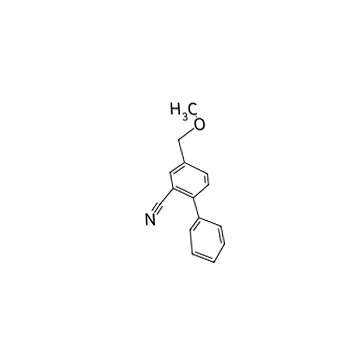 COCc1ccc(-c2ccccc2)c(C#N)c1